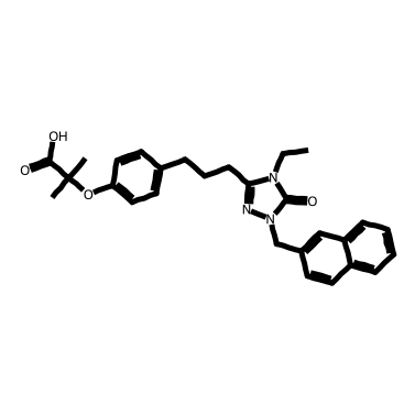 CCn1c(CCCc2ccc(OC(C)(C)C(=O)O)cc2)nn(Cc2ccc3ccccc3c2)c1=O